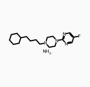 Fc1cnc(N2CCN(CCCCC3CCCCC3)CC2)nc1.N